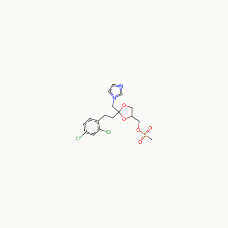 CS(=O)(=O)OCC1COC(CCc2ccc(Cl)cc2Cl)(Cn2ccnc2)O1